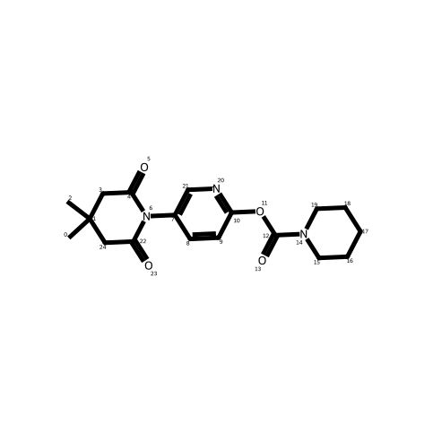 CC1(C)CC(=O)N(c2ccc(OC(=O)N3CCCCC3)nc2)C(=O)C1